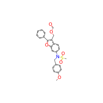 COc1ccc(CN(c2ccc3c(COC=O)c(-c4ccccc4)oc3c2)S(C)(=O)=O)cc1